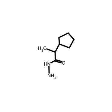 CC(C(=O)NN)C1CCCC1